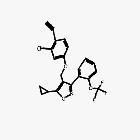 C#Cc1ccc(OCc2c(-c3ccccc3OC(F)(F)F)noc2C2CC2)cc1Cl